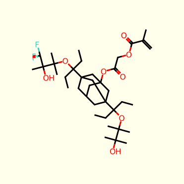 C=C(C)C(=O)OCC(=O)OC12CC3CC(C(CC)(CC)OC(C)(C)C(C)(C)O)(C1)CC(C(CC)(CC)OC(C)(C)C(C)(O)C(F)(F)F)(C3)C2